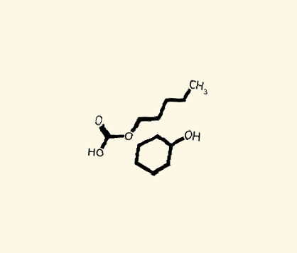 CCCCCOC(=O)O.OC1CCCCC1